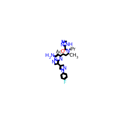 CC(=O)c1c(CC[C@@H](C)N(C(=O)c2nnc[nH]2)C(C)C)nc2c(-c3cnn(-c4ccc(F)cc4)c3)cnn2c1N